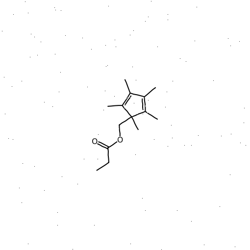 CCC(=O)OCC1(C)C(C)=C(C)C(C)=C1C